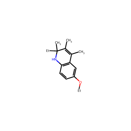 CCOc1ccc2c(c1)C(C)=C(C)C(C)(CC)N2